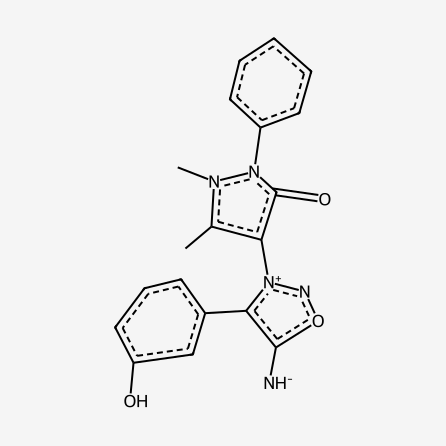 Cc1c(-[n+]2noc([NH-])c2-c2cccc(O)c2)c(=O)n(-c2ccccc2)n1C